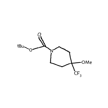 COC1(C(F)(F)F)CCN(C(=O)OC(C)(C)C)CC1